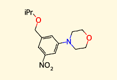 CC(C)OCc1cc(N2CCOCC2)cc([N+](=O)[O-])c1